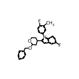 Cc1cc(-n2c(C3CCOC(OCc4ccccc4)C3)cc3cc(F)ccc32)ccc1F